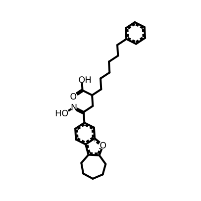 O=C(O)C(CCCCCCc1ccccc1)CC(=NO)c1ccc2c3c(oc2c1)CCCCC3